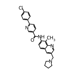 Cc1c(NC(=O)c2ccc(-c3ccc(Cl)cc3)nc2)ccc2cc(CN3CCCC3)cnc12